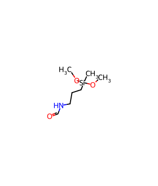 CO[Si](C)(CCCNC=O)OC